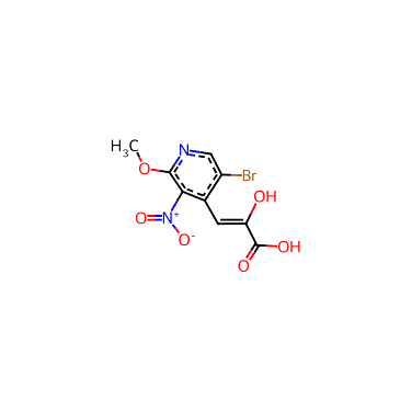 COc1ncc(Br)c(C=C(O)C(=O)O)c1[N+](=O)[O-]